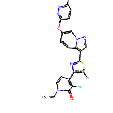 CC(=O)c1sc(-c2cnn3cc(Oc4ccc(C)nn4)ccc23)nc1-c1ccn(CC(F)(F)F)c(=O)c1F